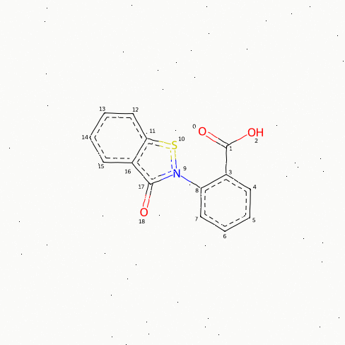 O=C(O)c1ccccc1-n1sc2ccccc2c1=O